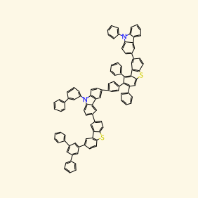 c1ccc(-c2cc(-c3ccccc3)cc(-c3ccc4sc5ccc(-c6ccc7c(c6)c6cc(-c8ccc(-c9c(-c%10ccccc%10)cc%10sc%11ccc(-c%12ccc%13c(c%12)c%12ccccc%12n%13-c%12ccccc%12)cc%11c%10c9-c9ccccc9)cc8)ccc6n7-c6cccc(-c7ccccc7)c6)cc5c4c3)c2)cc1